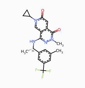 Cc1cc([C@H](C)Nc2nn(C)c(=O)c3cc(=O)n(C4CC4)cc23)cc(C(F)(F)F)c1